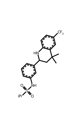 CC(C)S(=O)(=O)Nc1cccc(C2CC(C)(C)c3cc(C(F)(F)F)ccc3N2)c1